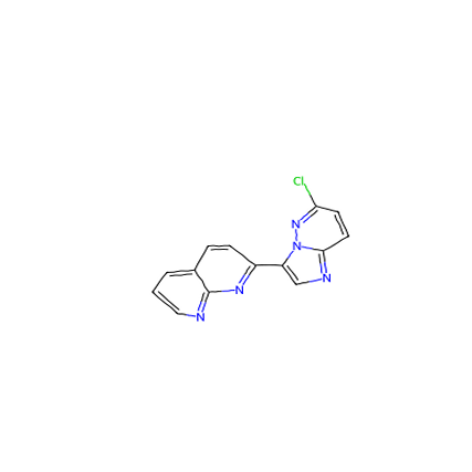 Clc1ccc2ncc(-c3ccc4cccnc4n3)n2n1